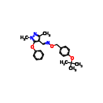 Cc1nn(C)c(Oc2ccccc2)c1C=NOCc1ccc(OC(C)(C)C)cc1